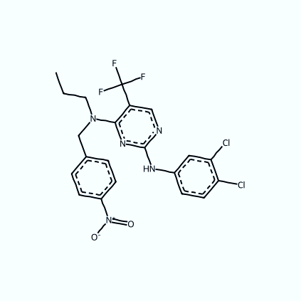 CCCN(Cc1ccc([N+](=O)[O-])cc1)c1nc(Nc2ccc(Cl)c(Cl)c2)ncc1C(F)(F)F